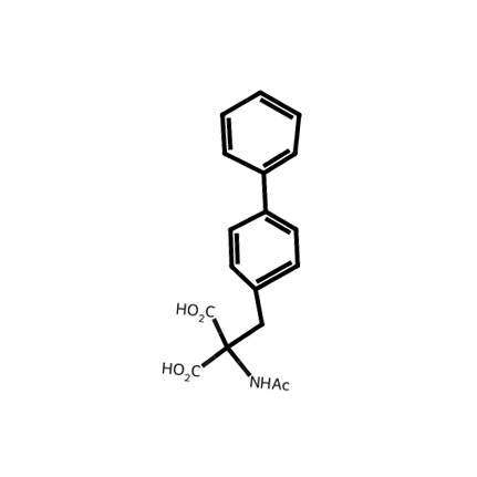 CC(=O)NC(Cc1ccc(-c2ccccc2)cc1)(C(=O)O)C(=O)O